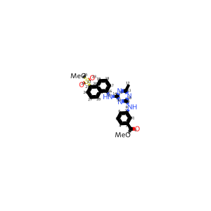 COC(=O)c1cccc(Nc2nc(C)nc(Nc3cccc4c(S(=O)(=O)OC)cccc34)n2)c1